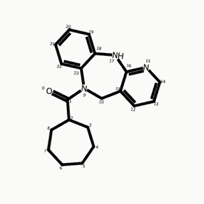 O=C(C1CCCCCC1)N1Cc2cccnc2Nc2ccccc21